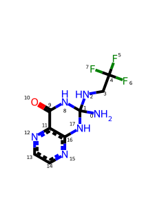 NC1(NCC(F)(F)F)NC(=O)c2nccnc2N1